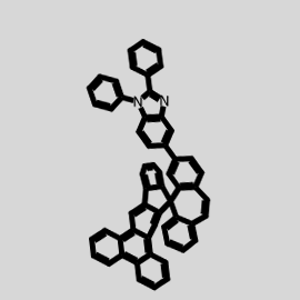 C1=Cc2ccc(-c3ccc4c(c3)nc(-c3ccccc3)n4-c3ccccc3)cc2C2(c3ccccc31)c1ccccc1-c1cc3c4ccccc4c4ccccc4c3cc12